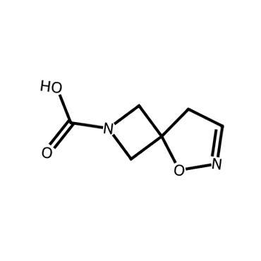 O=C(O)N1CC2(CC=NO2)C1